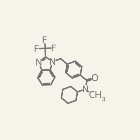 CN(C(=O)c1ccc(Cn2c(C(F)(F)F)nc3ccccc32)cc1)C1CCCCC1